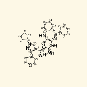 N=C(NC1N=C(c2ccccc2)c2ccccc2NC1=O)OC(=N)c1cn(C2CCCC2)nc1N1CCOCC1